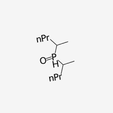 CCCC(C)[PH](=O)C(C)CCC